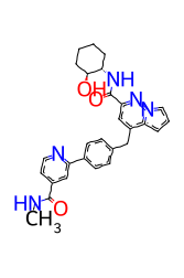 CNC(=O)c1ccnc(-c2ccc(Cc3cc(C(=O)N[C@H]4CCCC[C@@H]4O)nn4cccc34)cc2)c1